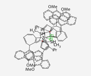 COc1c2ccccc2c(C2C=CC=CC3=C2C=C(C(C)C)[C]32[SiH](C)[C]3(C(C(C)C)=CC4=C3C=CC=CC4c3c4ccccc4c(OC)c4ccccc34)[Zr]23([Cl])([Cl])[C]2(C(C(C)C)=CC4=C2C=CC=CC4c2c4ccccc4c(OC)c4ccccc24)[SiH](C)[C]32C(C(C)C)=CC3=C2C=CC=CC3c2c3ccccc3c(OC)c3ccccc23)c2ccccc12